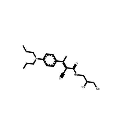 CCCN(CCC)c1ccc(/C(C)=C(\C#N)C(=O)NCC(O)CO)cc1